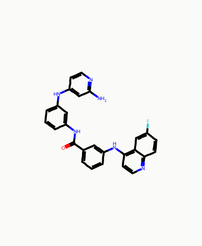 Nc1cc(Nc2cccc(NC(=O)c3cccc(Nc4ccnc5ccc(F)cc45)c3)c2)ccn1